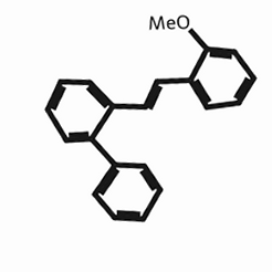 COc1ccccc1/C=C/c1ccccc1-c1ccccc1